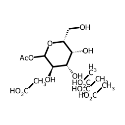 CC(=O)O.CC(=O)O.CC(=O)O.CC(=O)O.CC(=O)OC1O[C@H](CO)[C@H](O)[C@H](O)[C@H]1O